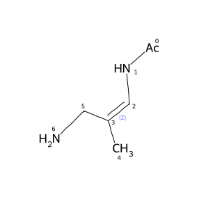 CC(=O)N/C=C(/C)CN